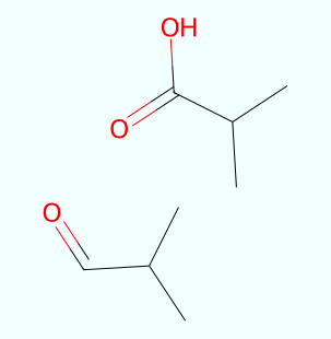 CC(C)C(=O)O.CC(C)C=O